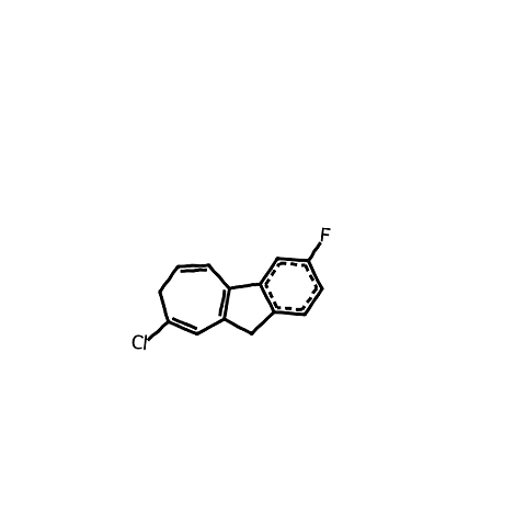 Fc1ccc2c(c1)C1=C(C=C(Cl)CC=C1)C2